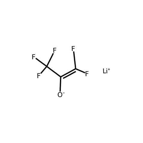 [Li+].[O-]C(=C(F)F)C(F)(F)F